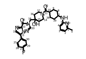 Cc1cccc(NC2CCC(C(=O)N3CCC(O)(Cn4cnn5c(-c6ccc(F)cc6)cnc5c4=O)CC3)CC2)n1